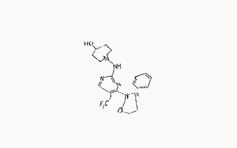 OC1CCN(Nc2ncc(C(F)(F)F)c(N3OCC[C@H]3c3ccccc3)n2)CC1